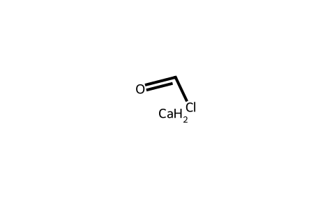 O=CCl.[CaH2]